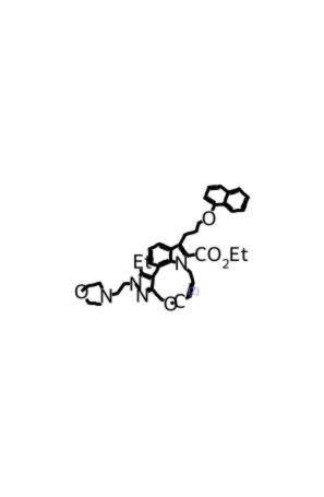 CCOC(=O)c1c(CCCOc2cccc3ccccc23)c2cccc3c2n1C/C=C\COCc1nn(CCN2CCOCC2)c(CC)c1-3